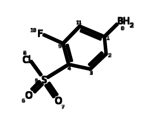 Bc1ccc(S(=O)(=O)Cl)c(F)c1